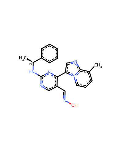 Cc1cccn2c(-c3nc(N[C@@H](C)c4ccccc4)ncc3C=NO)cnc12